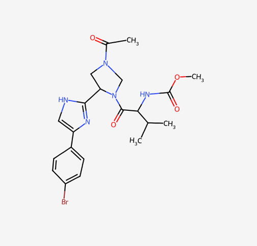 COC(=O)NC(C(=O)N1CN(C(C)=O)CC1c1nc(-c2ccc(Br)cc2)c[nH]1)C(C)C